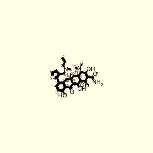 C=CCN(C)Cc1ccoc1-c1ccc(O)c2c1C[C@H]1C[C@H]3[C@H](N(C)C)C(O)=C(C(N)=O)C(=O)[C@@]3(O)C(O)=C1C2=O